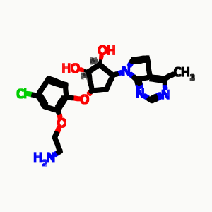 Cc1ncnc2c1ccn2C1CC(Oc2ccc(Cl)cc2OCCN)[C@@H](O)[C@H]1O